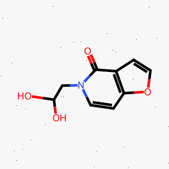 O=c1c2ccoc2ccn1CC(O)O